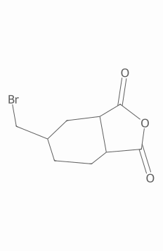 O=C1OC(=O)C2CC(CBr)CCC12